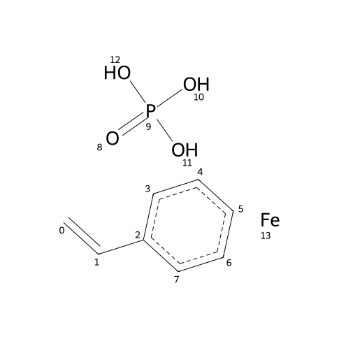 C=Cc1ccccc1.O=P(O)(O)O.[Fe]